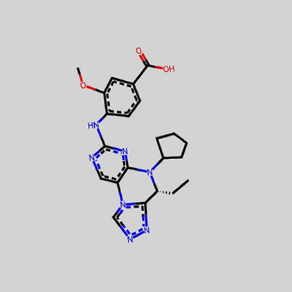 CC[C@@H]1c2nncn2-c2cnc(Nc3ccc(C(=O)O)cc3OC)nc2N1C1CCCC1